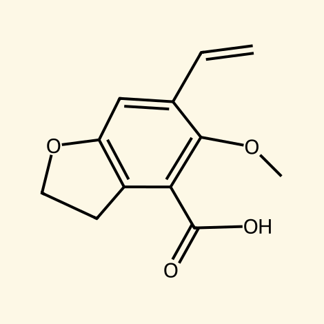 C=Cc1cc2c(c(C(=O)O)c1OC)CCO2